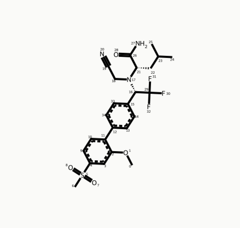 COc1cc(S(C)(=O)=O)ccc1-c1ccc([C@H](N(CC#N)[C@@H](CC(C)C)C(N)=O)C(F)(F)F)cc1